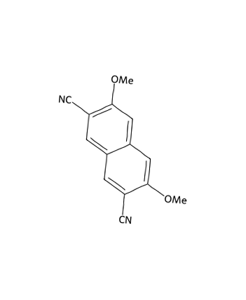 COc1cc2cc(OC)c(C#N)cc2cc1C#N